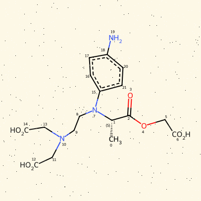 C[C@@H](C(=O)OCC(=O)O)N(CCN(CC(=O)O)CC(=O)O)c1ccc(N)cc1